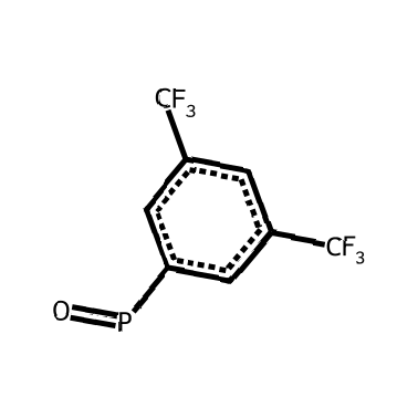 O=Pc1cc(C(F)(F)F)cc(C(F)(F)F)c1